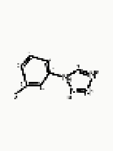 Cc1cccc(-n2cnnn2)c1